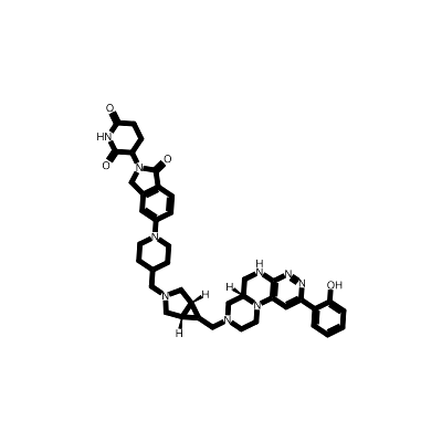 O=C1CCC(N2Cc3cc(N4CCC(CN5C[C@@H]6C(CN7CCN8c9cc(-c%10ccccc%10O)nnc9NC[C@H]8C7)[C@@H]6C5)CC4)ccc3C2=O)C(=O)N1